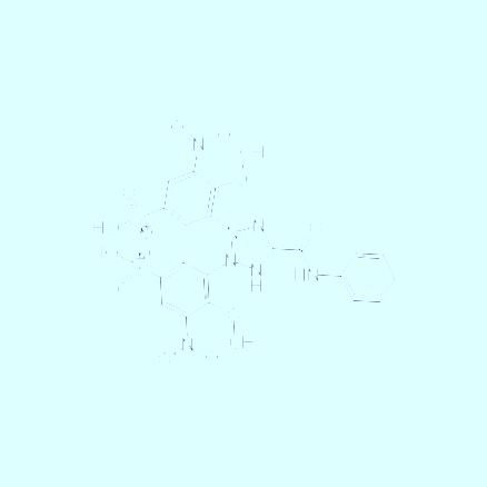 COc1c(N2N=C(C(=O)Nc3ccccc3)NN2c2cc(S(=O)(=O)O)cc([N+](=O)[O-])c2OC)cc(S(=O)(=O)O)cc1[N+](=O)[O-]